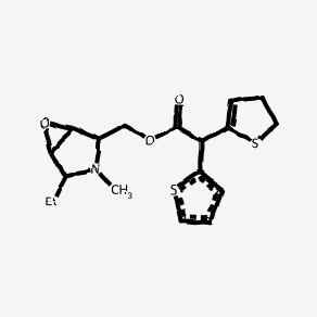 CCC1C2OC2C(COC(=O)C(C2=CCCS2)c2cccs2)N1C